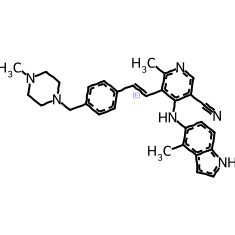 Cc1ncc(C#N)c(Nc2ccc3[nH]ccc3c2C)c1/C=C/c1ccc(CN2CCN(C)CC2)cc1